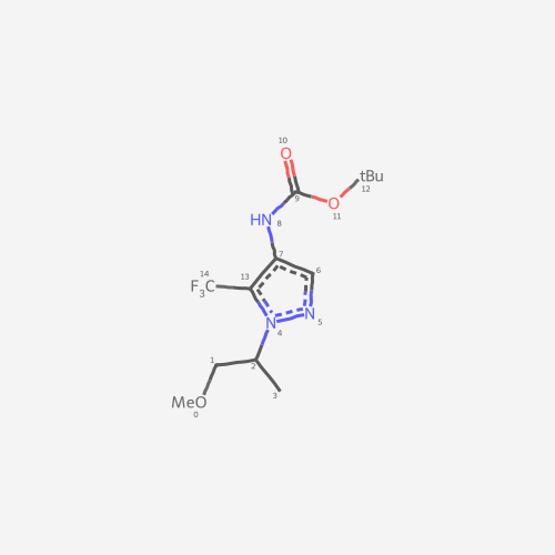 COCC(C)n1ncc(NC(=O)OC(C)(C)C)c1C(F)(F)F